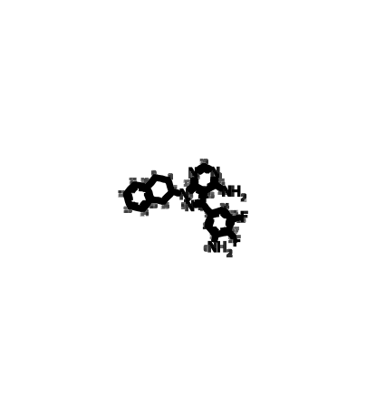 Nc1cc(-c2nn(C3CCc4ccccc4C3)c3ncnc(N)c23)cc(F)c1F